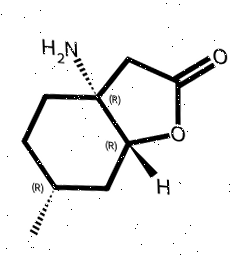 C[C@@H]1CC[C@@]2(N)CC(=O)O[C@@H]2C1